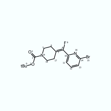 CC(C)(C)OC(=O)N1CCC(=C(F)c2cccc(Br)n2)CC1